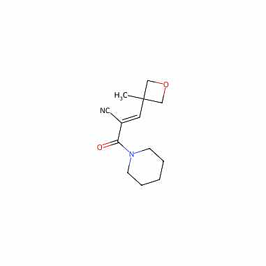 CC1(C=C(C#N)C(=O)N2CCCCC2)COC1